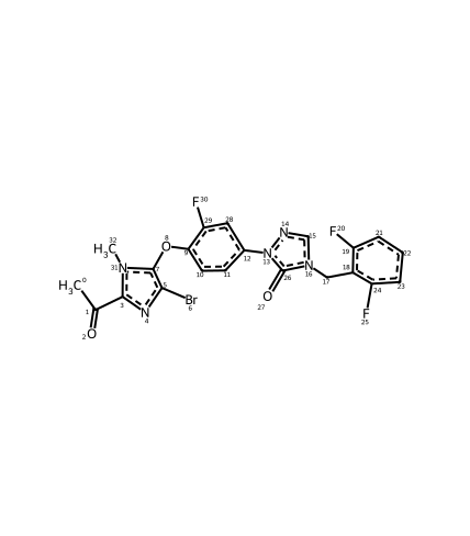 CC(=O)c1nc(Br)c(Oc2ccc(-n3ncn(Cc4c(F)cccc4F)c3=O)cc2F)n1C